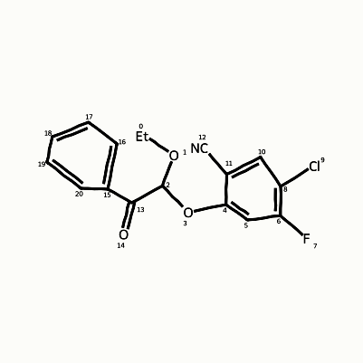 CCOC(Oc1cc(F)c(Cl)cc1C#N)C(=O)c1ccccc1